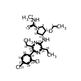 CCO[C@H]1CN(C(=S)NC)C[C@H]1Nc1nc(CC)c(-c2ccc(Cl)cc2Cl)nc1CC